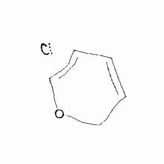 C1=CCOC=C1.[C]